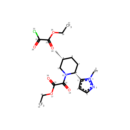 CC(C)n1nccc1[C@H]1CC[C@@H](C)CN1C(=O)C(=O)OCC(F)(F)F.O=C(Cl)C(=O)OCC(F)(F)F